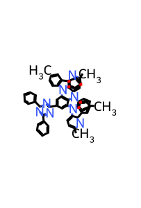 Cc1ccc2c(c1)c1nc(C)ccc1n2-c1cc(-c2nc(-c3ccccc3)nc(-c3ccccc3)n2)cc(-n2c3ccc(C)cc3c3nc(C)ccc32)c1N(c1ccccc1)c1ccccc1